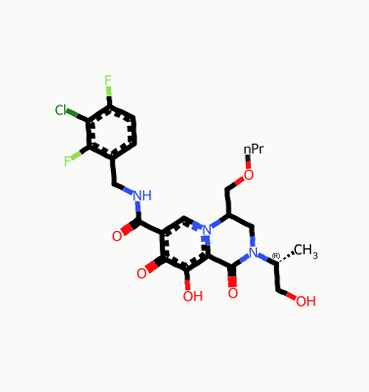 CCCOCC1CN([C@H](C)CO)C(=O)c2c(O)c(=O)c(C(=O)NCc3ccc(F)c(Cl)c3F)cn21